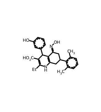 CCC1=C(C(=O)O)C(c2cccc(O)c2)C2=C(CC(c3c(C)cccc3C)CC2=NO)N1